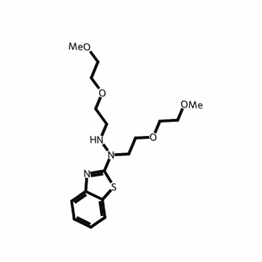 COCCOCCNN(CCOCCOC)c1nc2ccccc2s1